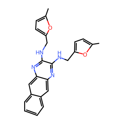 Cc1ccc(CNc2nc3cc4ccccc4cc3nc2NCc2ccc(C)o2)o1